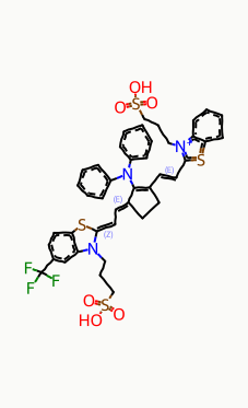 O=S(=O)(O)CCCN1/C(=C/C=C2\CCC(/C=C/c3sc4ccccc4[n+]3CCCS(=O)(=O)O)=C2N(c2ccccc2)c2ccccc2)Sc2ccc(C(F)(F)F)cc21